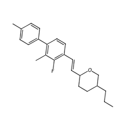 CCCC1CCC(/C=C/c2ccc(-c3ccc(C)cc3)c(C)c2F)OC1